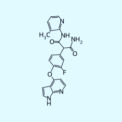 Cc1cccnc1NC(=O)C(C(N)=O)c1ccc(Oc2ccnc3[nH]ccc23)c(F)c1